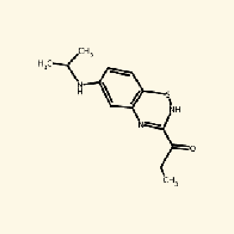 CCC(=O)C1=Nc2cc(NC(C)C)ccc2SN1